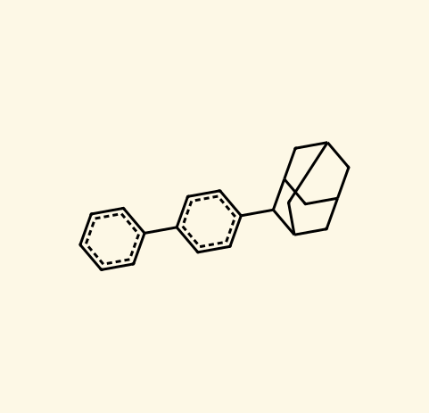 c1ccc(-c2ccc(C3C4CC5CC(C4)CC3C5)cc2)cc1